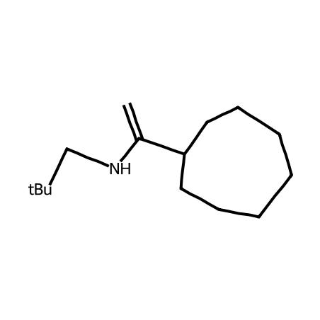 C=C(NCC(C)(C)C)C1CCCCCCC1